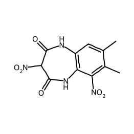 Cc1cc2c(c([N+](=O)[O-])c1C)NC(=O)C([N+](=O)[O-])C(=O)N2